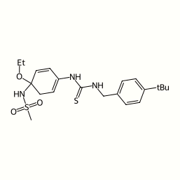 CCOC1(NS(C)(=O)=O)C=CC(NC(=S)NCc2ccc(C(C)(C)C)cc2)=CC1